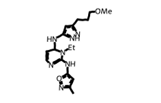 CCN1C(Nc2cc(C)no2)=NC=CC1Nc1cc(CCCOC)n[nH]1